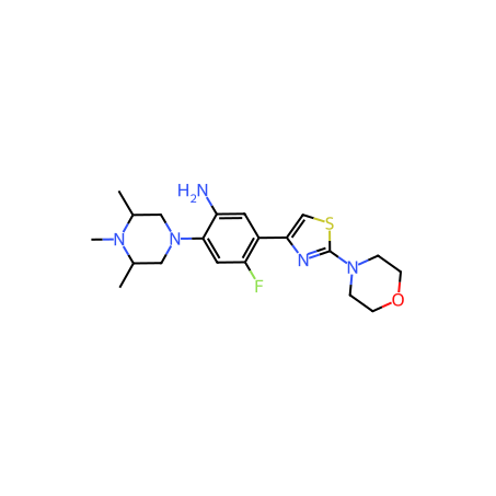 CC1CN(c2cc(F)c(-c3csc(N4CCOCC4)n3)cc2N)CC(C)N1C